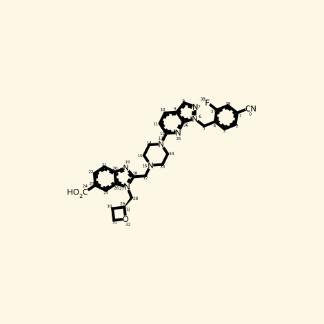 N#Cc1ccc(Cn2ncc3ccc(N4CCN(Cc5nc6ccc(C(=O)O)cc6n5C[C@@H]5CCO5)CC4)nc32)c(F)c1